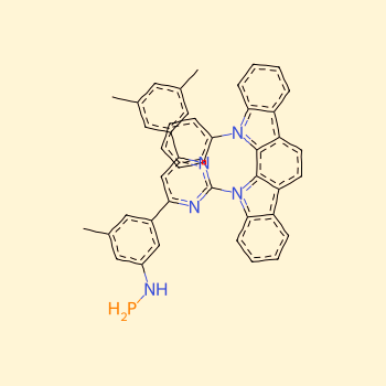 Cc1cc(C)cc(-c2cc(-c3cc(C)cc(NP)c3)nc(-n3c4ccccc4c4ccc5c6ccccc6n(-c6ccccc6)c5c43)n2)c1